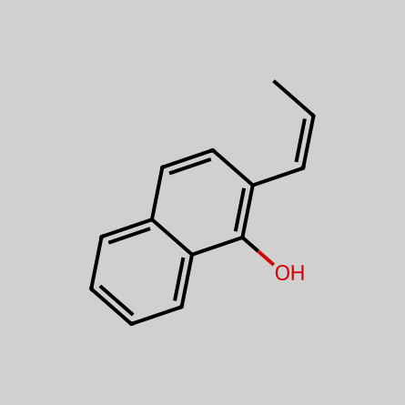 C/C=C\c1ccc2ccccc2c1O